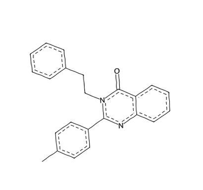 Cc1ccc(-c2nc3ccccc3c(=O)n2CCc2ccccc2)cc1